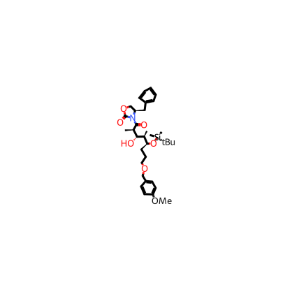 COc1ccc(COCCC[C@H](O[Si](C)(C)C(C)(C)C)[C@H](C)[C@H](O)[C@@H](C)C(=O)N2C(=O)OC[C@H]2Cc2ccccc2)cc1